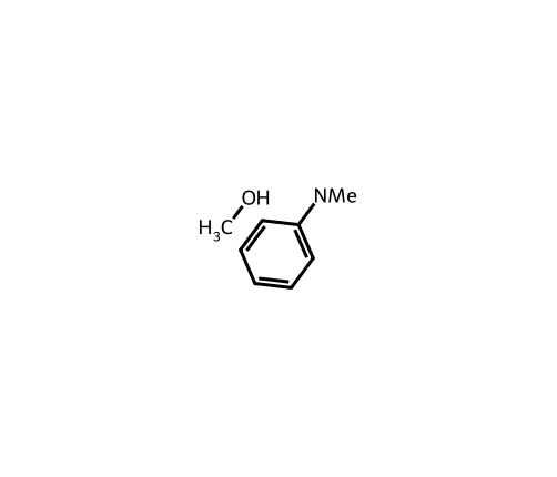 CNc1ccccc1.CO